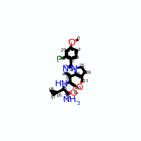 COc1ccc(C2=NC=C3C(NC(C(N)=O)C4CC4)=COCC4=C3N2CC4)c(F)c1